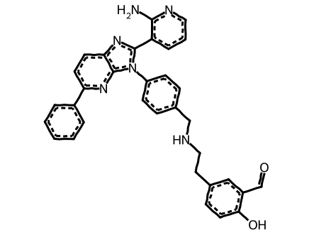 Nc1ncccc1-c1nc2ccc(-c3ccccc3)nc2n1-c1ccc(CNCCc2ccc(O)c(C=O)c2)cc1